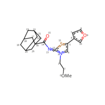 COCCn1cc(-c2ccoc2)sc1=NC(=O)C12CC3CC(CC(C3)C1)C2